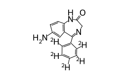 [2H]c1c([2H])c([2H])c(C2=NCC(=O)Nc3ccc(N)cc32)c([2H])c1[2H]